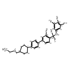 CCOCC1CCC(c2ccc(-c3ccc(C(F)(F)Oc4cc(F)c(F)c(F)c4)c(F)c3)cc2)CC1